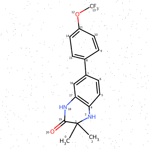 CC1(C)Nc2ccc(-c3ccc(OC(F)(F)F)cc3)cc2NC1=O